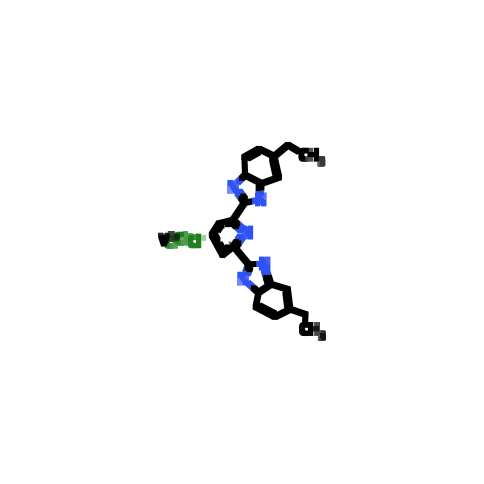 CCC1=CC2=NC(c3cccc(C4=NC5C=CC(CC)=CC5=N4)n3)=NC2C=C1.[Cl-].[Cl-].[Cl-].[V+3]